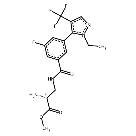 CCn1ncc(C(F)(F)F)c1-c1cc(F)cc(C(=O)NC[C@@H](N)C(=O)OC)c1